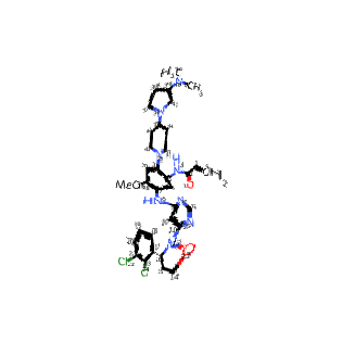 C=CC(=O)Nc1cc(Nc2cc(N3OCC[C@@H]3c3cccc(Cl)c3Cl)ncn2)c(OC)cc1N1CCC(N2CCC(N(C)C)C2)CC1